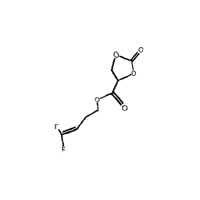 O=C1OCC(C(=O)OCCC=C(F)F)O1